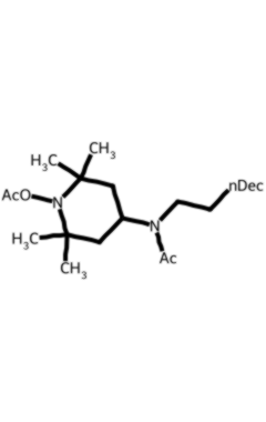 CCCCCCCCCCCCN(C(C)=O)C1CC(C)(C)N(OC(C)=O)C(C)(C)C1